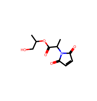 CC(CO)OC(=O)C(C)N1C(=O)C=CC1=O